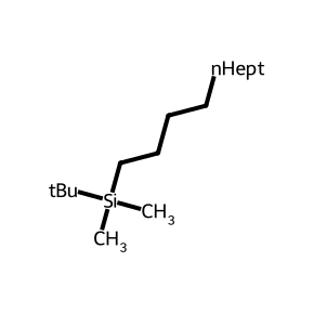 [CH2]CCCCCCCCCC[Si](C)(C)C(C)(C)C